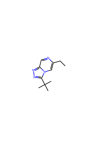 CCc1cn2c(C(C)(C)C)nnc2cn1